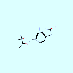 CC1OB(c2ccc3c(c2)NC(=O)C3)OC1(C)C